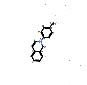 CC(C)c1ccc(N2C=Cc3ccccc3C2)cc1